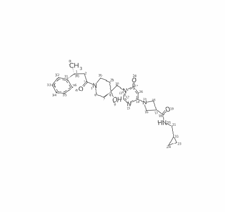 C[C@H](CC(=O)N1CCC(O)(Cn2cnc(N3CC(C(=O)NCC4CC4)C3)cc2=O)CC1)c1ccccc1